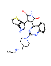 O=C1NC(=O)C(c2c[nH]c3ccsc23)=C1c1nc(N2CCC(CNCC(F)(F)F)CC2)nc2ccccc12